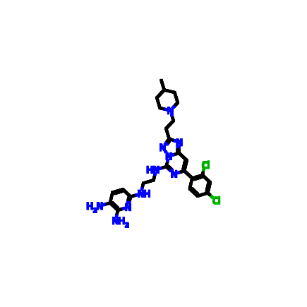 CC1CCN(CCc2nc3cc(-c4ccc(Cl)cc4Cl)nc(NCCNc4ccc(N)c(N)n4)n3n2)CC1